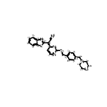 N#CC(c1ccnc(OCc2ccc(CN3CCOCC3)cc2)n1)c1nc2ccccc2s1